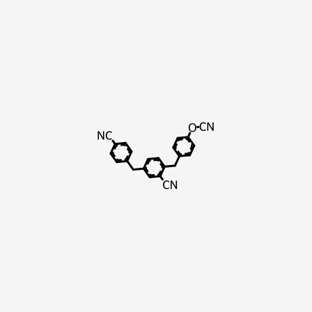 N#COc1ccc(Cc2ccc(Cc3ccc(C#N)cc3)cc2C#N)cc1